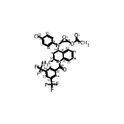 CC(=O)OC1OC1N(c1ccc(Cl)cc1)[C@@H]1C[C@H](C)N(C(=O)c2cc(C(F)(F)F)cc(C(F)(F)F)c2)c2ccccc21